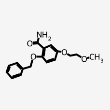 COCCOc1ccc(OCc2ccccc2)c(C(N)=O)c1